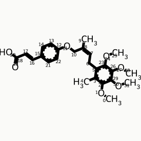 COc1c(C)c(CC=C(C)COc2ccc(C=CC(=O)O)cc2)c(OC)c(OC)c1OC